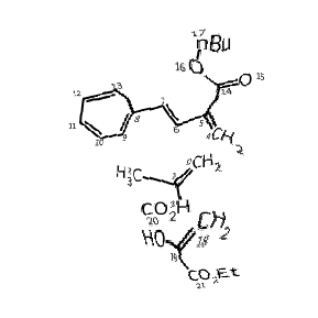 C=C(C)C(=O)O.C=C(C=Cc1ccccc1)C(=O)OCCCC.C=C(O)C(=O)OCC